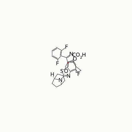 O=C(O)c1cc(F)c2nc(N3C4CC[C@H]3C[C@H](OCc3c(-c5c(F)cccc5F)noc3C3CC3)C4)sc2c1